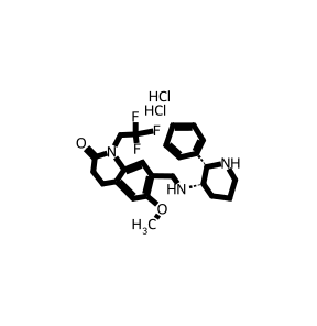 COc1cc2c(cc1CN[C@H]1CCCN[C@H]1c1ccccc1)N(CC(F)(F)F)C(=O)CC2.Cl.Cl